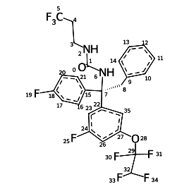 O=C(NCCC(F)(F)F)N[C@](Cc1ccccc1)(c1ccc(F)cc1)c1cc(F)cc(OC(F)(F)C(F)F)c1